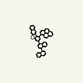 c1ccc2cc3c(cc2c1)oc1cc(-c2ccc(-c4cccc5ccccc45)c4ccccc24)cc(-c2ccc4ccc5cccc6ccc2c4c56)c13